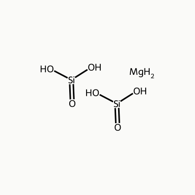 O=[Si](O)O.O=[Si](O)O.[MgH2]